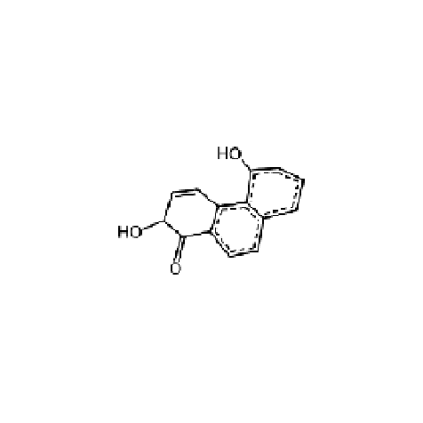 O=C1c2ccc3cccc(O)c3c2C=CC1O